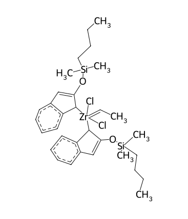 C[CH]=[Zr]([Cl])([Cl])([CH]1C(O[Si](C)(C)CCCC)=Cc2ccccc21)[CH]1C(O[Si](C)(C)CCCC)=Cc2ccccc21